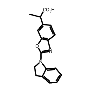 CC(C(=O)O)c1ccc2nc(N3CCc4ccccc43)oc2c1